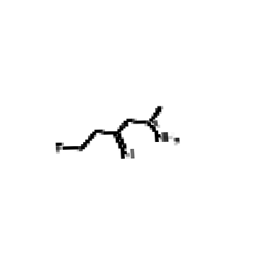 C[C@@H](N)CC(=N)CCF